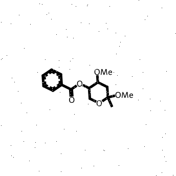 COC1CC(C)(OC)OCC1OC(=O)c1ccccc1